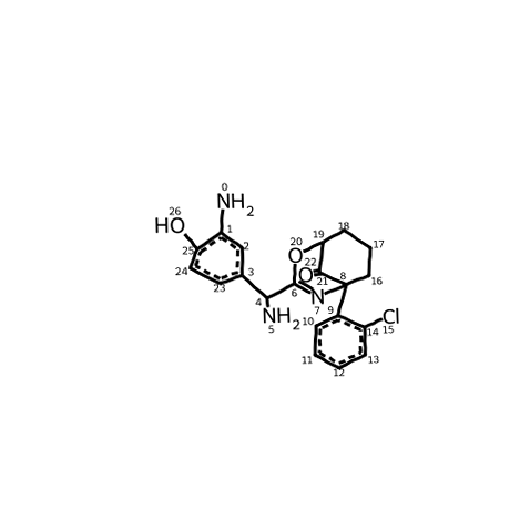 Nc1cc(C(N)C2=NC3(c4ccccc4Cl)CCCC(O2)C3=O)ccc1O